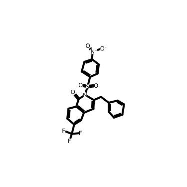 O=c1c2ccc(C(F)(F)F)cc2cc(Cc2ccccc2)n1S(=O)(=O)c1ccc([N+](=O)[O-])cc1